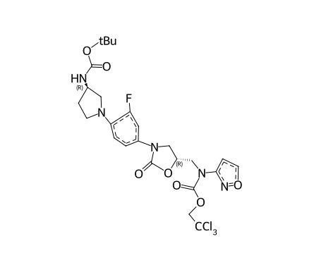 CC(C)(C)OC(=O)N[C@@H]1CCN(c2ccc(N3C[C@H](CN(C(=O)OCC(Cl)(Cl)Cl)c4ccon4)OC3=O)cc2F)C1